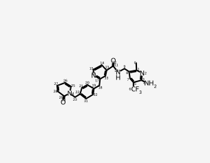 Cc1nc(N)c(C(F)(F)F)cc1CNC(=O)c1ccnc(Cc2ccc(Cn3ccccc3=O)cc2)c1